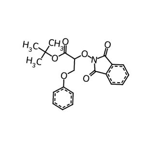 CC(C)(C)OC(=O)C(COc1ccccc1)ON1C(=O)c2ccccc2C1=O